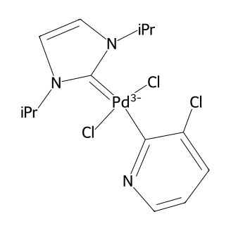 CC(C)n1ccn(C(C)C)[c]1=[Pd-3]([Cl])([Cl])[c]1ncccc1Cl